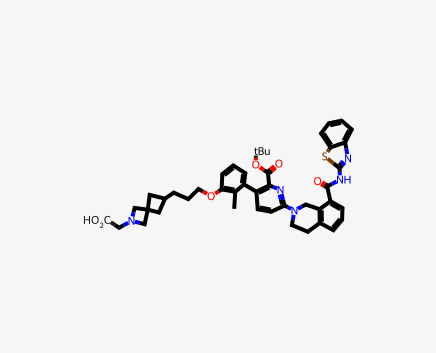 Cc1c(OCCCC2CC3(C2)CN(CC(=O)O)C3)cccc1-c1ccc(N2CCc3cccc(C(=O)Nc4nc5ccccc5s4)c3C2)nc1C(=O)OC(C)(C)C